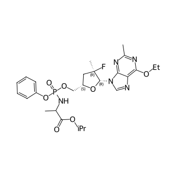 CCOc1nc(C)nc2c1ncn2[C@@H]1O[C@H](COP(=O)(NC(C)C(=O)OC(C)C)Oc2ccccc2)C[C@@]1(C)F